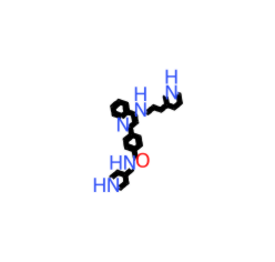 O=C(NCC1CCNCC1)c1ccc(-c2cc(NCCCC3CCCNC3)c3ccccc3n2)cc1